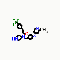 Cc1cc(Nc2ccc(CN(C(=O)C=Cc3ccc(C(F)(F)F)cc3)C3CCNCC3)cc2)ccn1